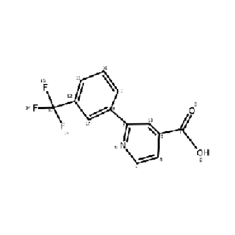 O=C(O)c1ccnc(-c2cccc(C(F)(F)F)c2)c1